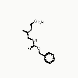 CC(CCC(=O)O)CNC(=O)OCc1ccccc1